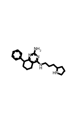 Nc1nc(NCCCC2CCCN2)c2c(n1)C(c1ccccc1)CCC2